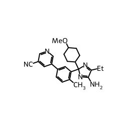 CCC1=NC(c2cc(-c3cncc(C#N)c3)ccc2C)(C2CCC(OC)CC2)N=C1N